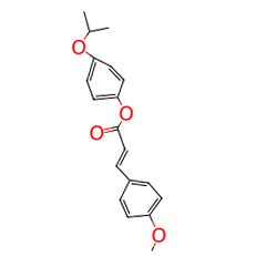 COc1ccc(/C=C/C(=O)Oc2ccc(OC(C)C)cc2)cc1